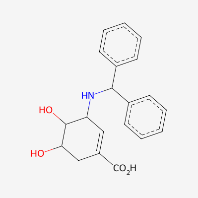 O=C(O)C1=CC(NC(c2ccccc2)c2ccccc2)C(O)C(O)C1